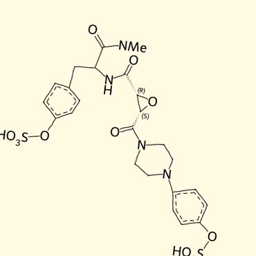 CNC(=O)C(Cc1ccc(OS(=O)(=O)O)cc1)NC(=O)[C@@H]1O[C@@H]1C(=O)N1CCN(c2ccc(OS(=O)(=O)O)cc2)CC1